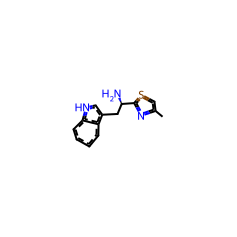 Cc1csc([C@H](N)Cc2c[nH]c3ccccc23)n1